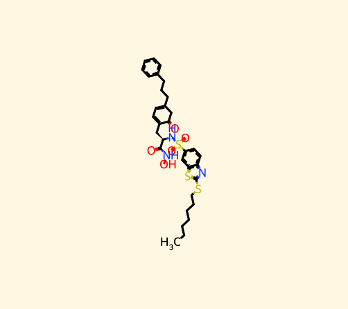 CCCCCCCSc1nc2ccc(S(=O)(=O)N[C@H](CC3=CC=C(CCCc4ccccc4)CC3=O)C(=O)NO)cc2s1